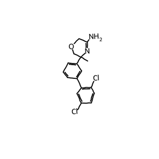 CC1(c2cccc(-c3cc(Cl)ccc3Cl)c2)COCC(N)=N1